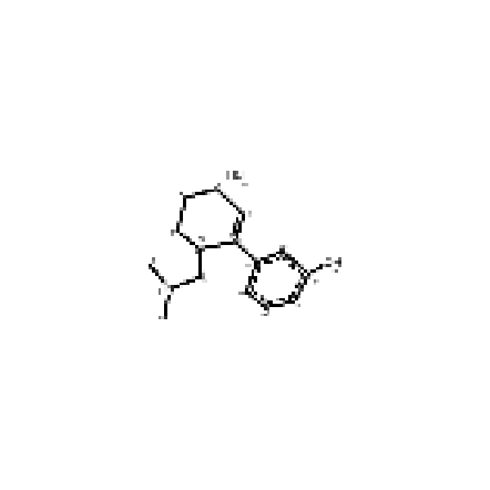 CN(C)C[C@H]1CCCC=C1c1cccc(O)c1.Cl